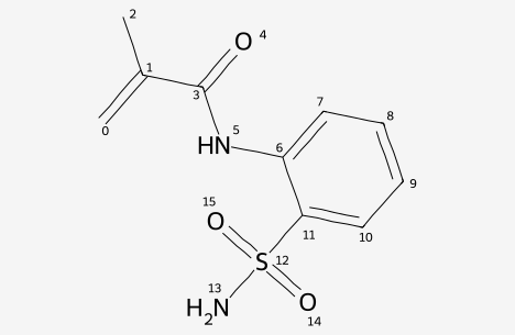 C=C(C)C(=O)Nc1ccccc1S(N)(=O)=O